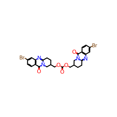 O=C(OCC1CCc2nc3cc(Br)ccc3c(=O)n2C1)OCC1CCc2nc3cc(Br)ccc3c(=O)n2C1